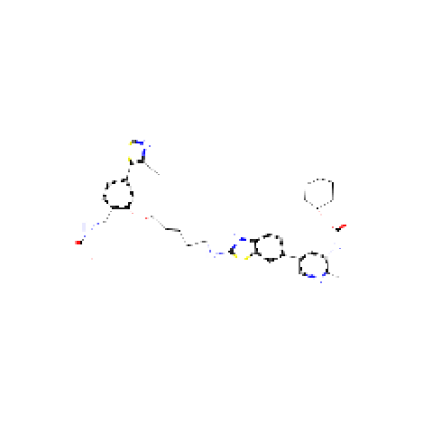 Cc1ncc(-c2ccc3nc(NCCCCCOc4cc(-c5scnc5C)ccc4CNC(=O)OC(C)(C)C)sc3c2)cc1NC(=O)OC1CCCCC1